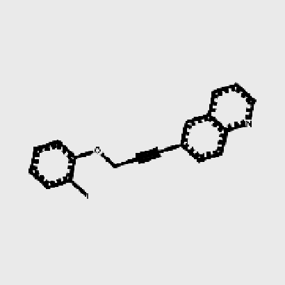 Ic1ccccc1OCC#Cc1ccc2ncccc2c1